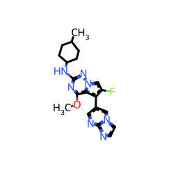 COc1nc(NC2CCC(C)CC2)nn2cc(F)c(-c3cnc4nccn4c3)c12